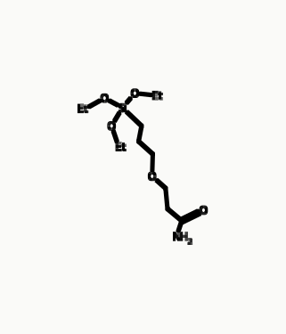 CCO[Si](CCCOCCC(N)=O)(OCC)OCC